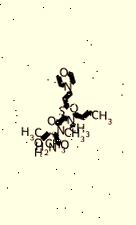 CCCC(=O)N(C)[C@H](SCCCN1CCOCC1)C(=O)N(C)[C@@H](CC(C)(C)O)C(N)=O